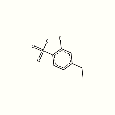 CCc1ccc(S(=O)(=O)Cl)c(F)c1